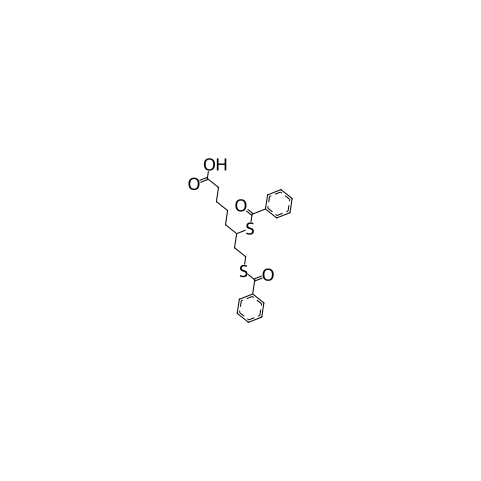 O=C(O)CCCCC(CCSC(=O)c1ccccc1)SC(=O)c1ccccc1